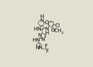 COc1c(Cl)cccc1Nc1c(-c2ccnc(Nc3cnn(CC(F)F)c3)n2)[nH]c2c1C(=O)NCC2